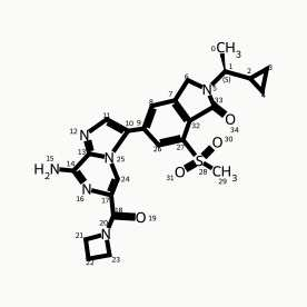 C[C@@H](C1CC1)N1Cc2cc(-c3cnc4c(N)nc(C(=O)N5CCC5)cn34)cc(S(C)(=O)=O)c2C1=O